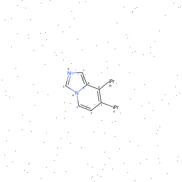 CC(C)c1ccn2cncc2c1C(C)C